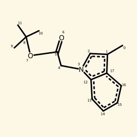 Cc1cn(CC(=O)OC(C)(C)C)c2ccccc12